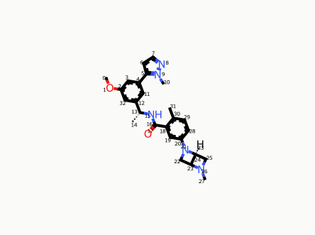 COc1cc(-c2ccnn2C)cc([C@@H](C)NC(=O)c2cc(N3CC4[C@@H]3CN4C)ccc2C)c1